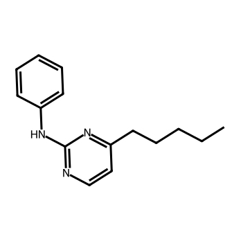 CCCCCc1ccnc(Nc2ccccc2)n1